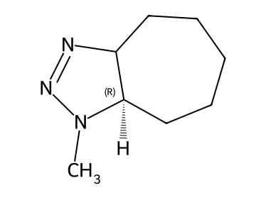 CN1N=NC2CCCCC[C@H]21